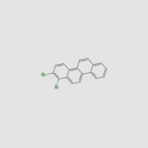 Brc1ccc2c(ccc3c4ccccc4ccc23)c1Br